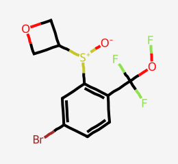 [O-][S+](c1cc(Br)ccc1C(F)(F)OF)C1COC1